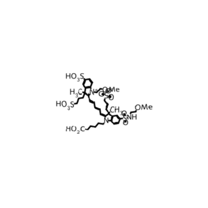 COCCNS(=O)(=O)c1ccc2c(c1)C(C)(CCCS(=O)(=O)[O-])\C(=C/C=C/C=C/C1=[N+](CCOC)c3ccc(S(=O)(=O)O)cc3C1(C)CCCS(=O)(=O)O)N2CCCCCC(=O)O